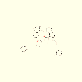 COc1ccc2ncc(C)c(CCCC3(C(O)C(O)C4(CCCc5c(C)cnc6ccc(OC)cc56)CCN(CCSc5c(F)cc(F)cc5F)CC4)CCN(CCSc4cc(F)c(F)c(F)c4)CC3)c2c1